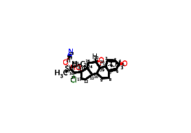 C[C@]12C=CC(=O)C=C1CCC1C3CC[C@](O)([C@H](Cl)[Si](C)(C)OC#N)[C@@]3(C)C[C@@H]3O[C@]132